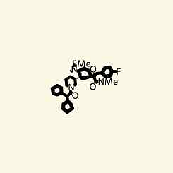 CNC(=O)c1c(-c2ccc(F)cc2)oc2cc(N(C)SC)c([C@H]3CCCN(C(=O)C(c4ccccc4)c4ccccc4)C3)cc12